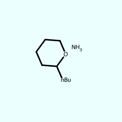 CCCCC1CCCCO1.N